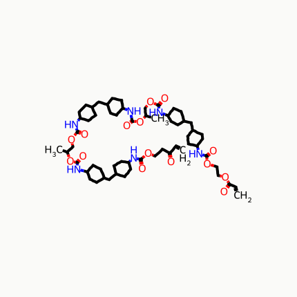 C=CC(=O)CCOC(=O)NC1CCC(CC2CCC(NC(=O)OC(C)COC(=O)NC3CCC(CC4CCC(NC(=O)OC(C)COC(=O)NC5CCC(CC6CCC(NC(=O)OCCOC(=O)C=C)CC6)CC5)CC4)CC3)CC2)CC1